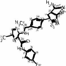 C[C@@H](Nc1ncc(C(F)(F)F)nc1C(=O)Nc1ccc(F)cc1)c1ccc(-c2cnc3[nH]nc(N)c3c2)cc1